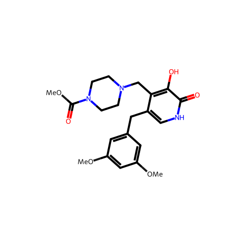 COC(=O)N1CCN(Cc2c(Cc3cc(OC)cc(OC)c3)c[nH]c(=O)c2O)CC1